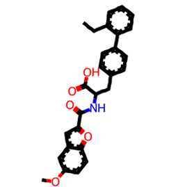 CCc1ccccc1-c1ccc(CC(NC(=O)c2cc3cc(OC)ccc3o2)C(=O)O)cc1